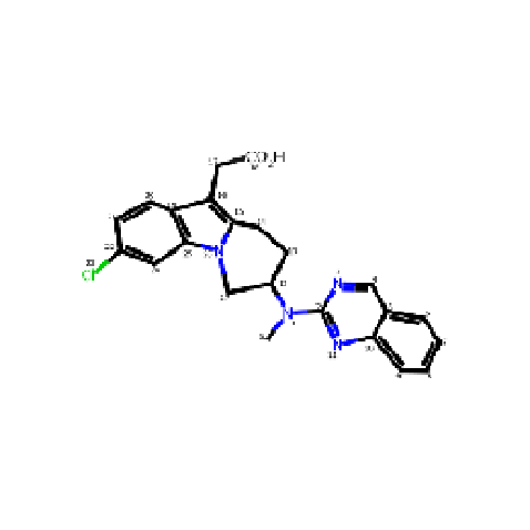 CN(c1ncc2ccccc2n1)C1CCc2c(CC(=O)O)c3ccc(Cl)cc3n2C1